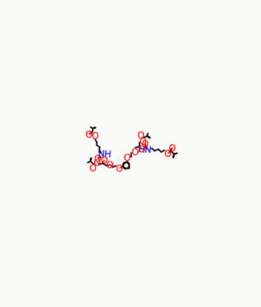 C=C(C)C(=O)OCCCCCNC(=O)OC(COCCOc1cccc(OCCOCC(COC(=O)C(=C)C)OC(=O)NCCCCCOC(=O)C(=C)C)c1)COC(=O)C(=C)C